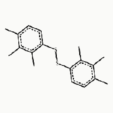 Cc1ccc(SSc2ccc(C)c(C)c2C)c(C)c1C